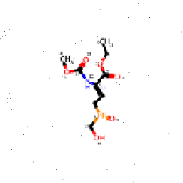 CCOC(=O)/C(=C/C[PH](=O)CO)NC(=O)OC